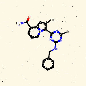 CCc1nc(NCc2ccccc2)nc(-c2c(C)cc3c(C(N)=O)cccn23)n1